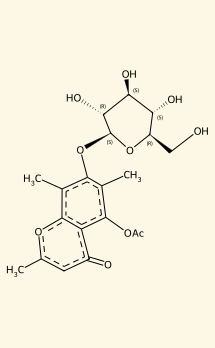 CC(=O)Oc1c(C)c(O[C@@H]2O[C@H](CO)[C@@H](O)[C@H](O)[C@H]2O)c(C)c2oc(C)cc(=O)c12